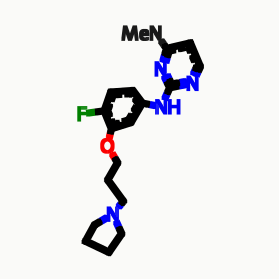 CNc1ccnc(Nc2ccc(F)c(OCCCN3CCCC3)c2)n1